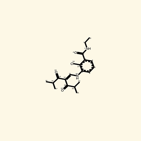 CCNC(=O)c1cccc(NC=C(C(=O)C(C)C)C(=O)C(C)C)c1Cl